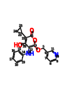 O=c1oc(OCc2cccnc2)c(Nc2ccccc2)c(O)c1C1CC1